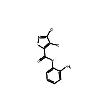 Nc1ccccc1NC(=O)c1snc(Cl)c1Cl